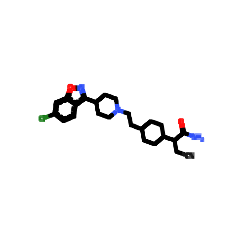 N#CCC(C(N)=O)C1CCC(CCN2CCC(c3noc4cc(Cl)ccc34)CC2)CC1